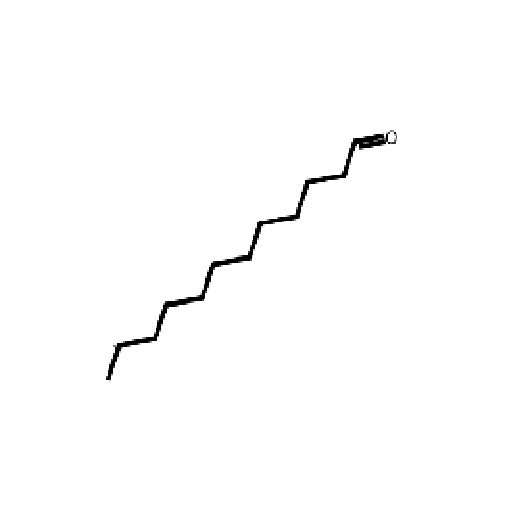 C[CH]CCCCCCCCCC=O